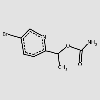 CC(OC(N)=O)c1ccc(Br)cn1